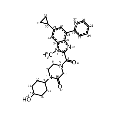 Cn1c(C(=O)N2CCN(C3CCC(O)CC3)C(=O)C2)nc2c(-c3ccccn3)cc(C3CC3)cc21